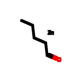 CCCCC=O.[Zn]